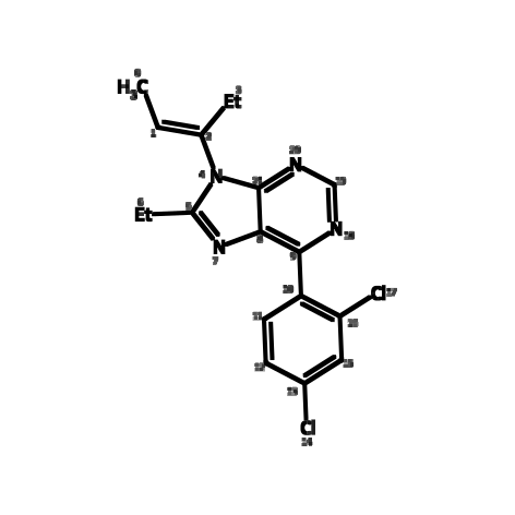 CC=C(CC)n1c(CC)nc2c(-c3ccc(Cl)cc3Cl)ncnc21